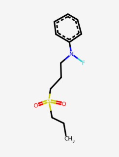 CCCS(=O)(=O)CCCN(F)c1ccccc1